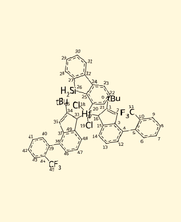 CC(C)(C)C1=Cc2c(-c3ccccc3C(F)(F)F)cccc2[CH]1[Hf]([Cl])([Cl])([c]1cccc2c1[SiH2]c1ccccc1-2)[CH]1C(C(C)(C)C)=Cc2c(-c3ccccc3C(F)(F)F)cccc21